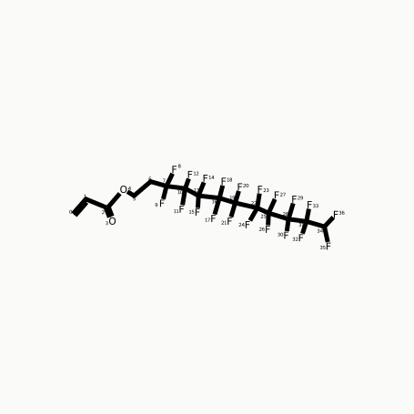 C=CC(=O)OCCC(F)(F)C(F)(F)C(F)(F)C(F)(F)C(F)(F)C(F)(F)C(F)(F)C(F)(F)C(F)(F)C(F)F